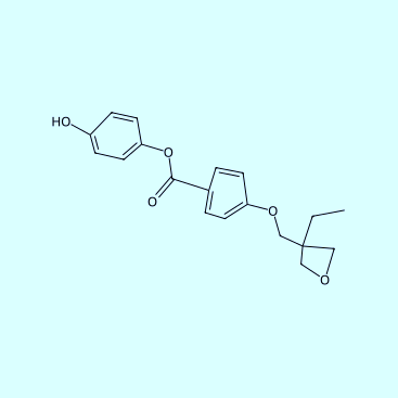 CCC1(COc2ccc(C(=O)Oc3ccc(O)cc3)cc2)COC1